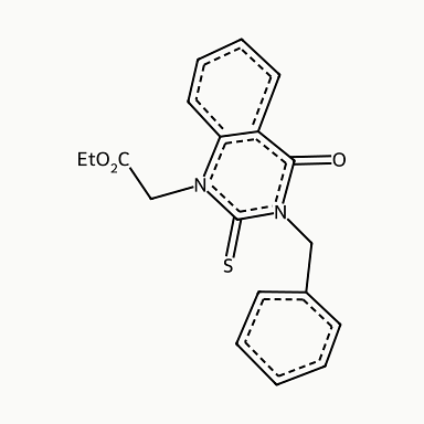 CCOC(=O)Cn1c(=S)n(Cc2ccccc2)c(=O)c2ccccc21